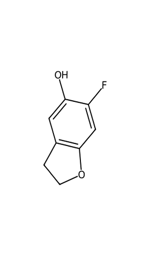 Oc1cc2c(cc1F)OCC2